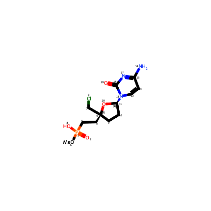 COP(=O)(O)CC[C@]1(CCl)CC[C@H](n2ccc(N)nc2=O)O1